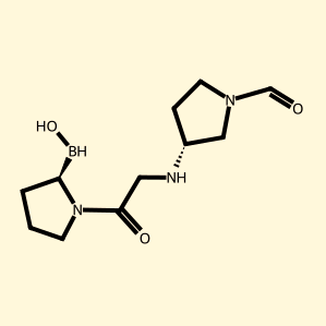 O=CN1CC[C@@H](NCC(=O)N2CCC[C@H]2BO)C1